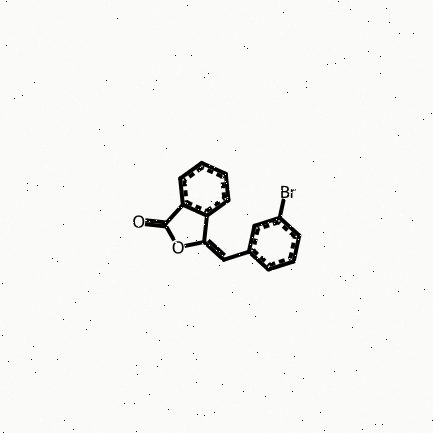 O=C1O/C(=C/c2cccc(Br)c2)c2ccccc21